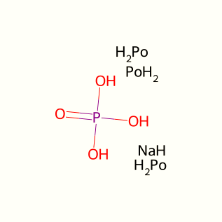 O=P(O)(O)O.[NaH].[PoH2].[PoH2].[PoH2]